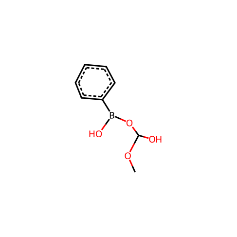 COC(O)OB(O)c1ccccc1